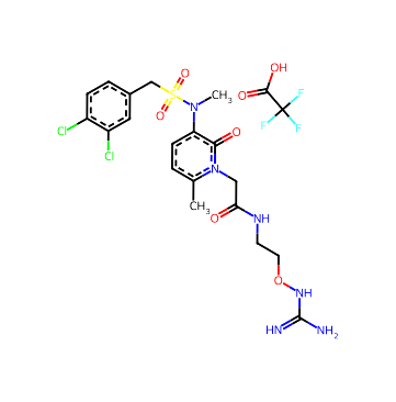 Cc1ccc(N(C)S(=O)(=O)Cc2ccc(Cl)c(Cl)c2)c(=O)n1CC(=O)NCCONC(=N)N.O=C(O)C(F)(F)F